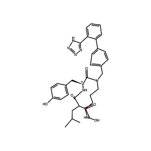 CCCCCN(Cc1ccc(-c2ccccc2-c2nnn[nH]2)cc1)C(=O)[C@H](Cc1ccc(O)cc1)NC(=O)C(CC(C)C)C(=O)NO